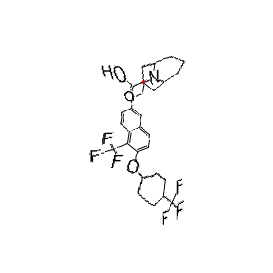 O=C(O)C1CC2CCCC(C1)N2CCCc1ccc2c(C(F)(F)F)c(OC3CCC(C(F)(F)F)CC3)ccc2c1